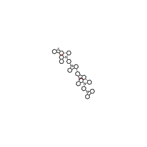 c1cc(N(c2ccccc2-c2ccc3c(c2)sc2ccc(-c4cccc5c4c4ccccc4n5-c4ccc(N(c5ccccc5-c5ccc6c(c5)sc5ccccc56)c5cccc6ccccc56)cc4)cc23)c2cccc3ccccc23)cc(-n2c3ccccc3c3ccccc32)c1